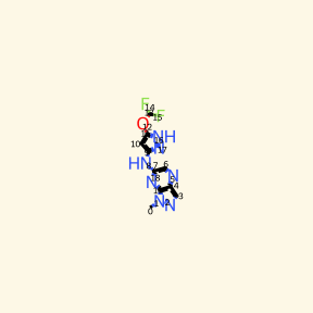 Cn1ncc2ncc(Nc3cc(OC(F)F)[nH]n3)nc21